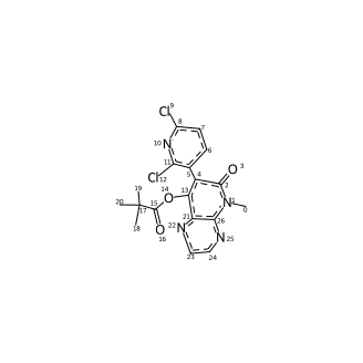 Cn1c(=O)c(-c2ccc(Cl)nc2Cl)c(OC(=O)C(C)(C)C)c2nccnc21